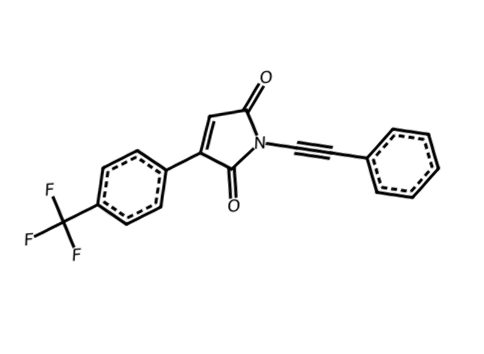 O=C1C=C(c2ccc(C(F)(F)F)cc2)C(=O)N1C#Cc1ccccc1